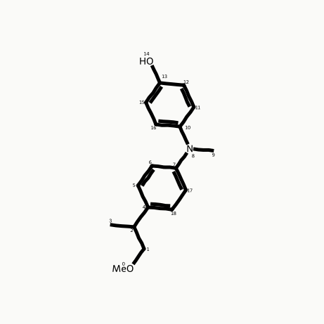 COCC(C)c1ccc(N(C)c2ccc(O)cc2)cc1